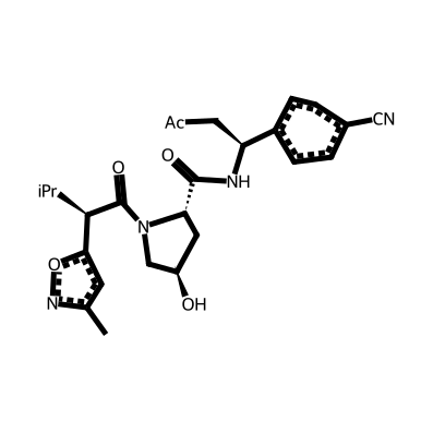 CC(=O)C[C@H](NC(=O)[C@@H]1C[C@@H](O)CN1C(=O)[C@@H](c1cc(C)no1)C(C)C)c1ccc(C#N)cc1